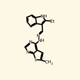 CCc1[nH]c2ccccc2c1C=NNc1ncnc2sc(C)cc12